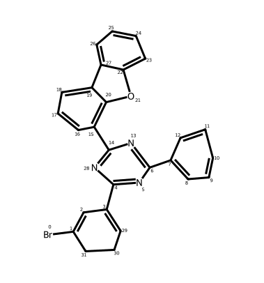 BrC1=CC(c2nc(-c3ccccc3)nc(-c3cccc4c3oc3ccccc34)n2)=CCC1